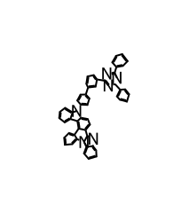 c1ccc(-c2nc(-c3ccccc3)nc(-c3cccc(-c4ccc(-n5c6ccccc6c6c7c8ccccc8n8c9ccccc9nc8c7ccc65)cc4)c3)n2)cc1